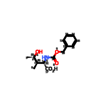 C[C@@H]([C@H](C)O)[C@H](NC(=O)OCc1ccccc1)C(=O)O